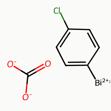 Clc1cc[c]([Bi+2])cc1.O=C([O-])[O-]